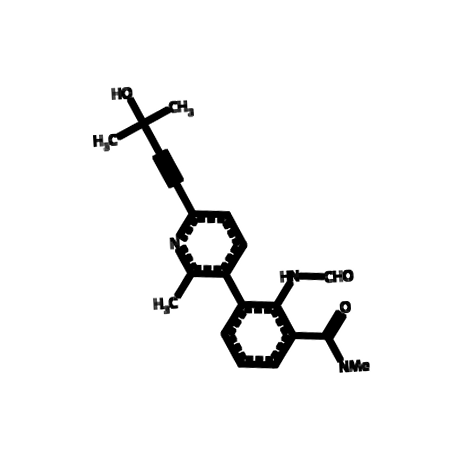 CNC(=O)c1cccc(-c2ccc(C#CC(C)(C)O)nc2C)c1NC=O